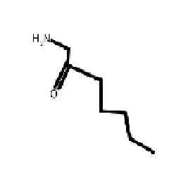 CCCCCC(=O)CN